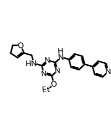 CCOc1nc(NCC2=CCCO2)nc(Nc2ccc(-c3ccncc3)cc2)n1